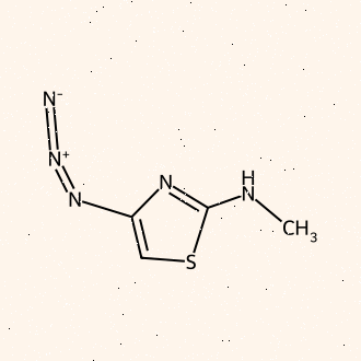 CNc1nc(N=[N+]=[N-])cs1